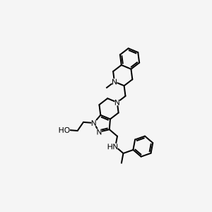 CC(NCc1nn(CCO)c2c1CN(CC1Cc3ccccc3CN1C)CC2)c1ccccc1